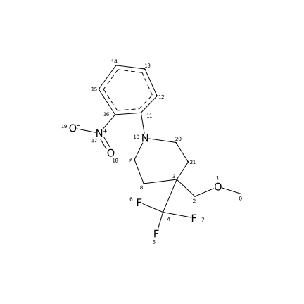 COCC1(C(F)(F)F)CCN(c2ccccc2[N+](=O)[O-])CC1